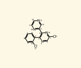 Clc1cnc(-c2ccccc2Cl)c(-c2cnccn2)n1